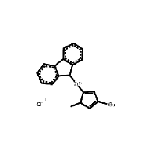 CC1C=C(C(C)(C)C)C=[C]1[Zr+2][CH]1c2ccccc2-c2ccccc21.[Cl-].[Cl-]